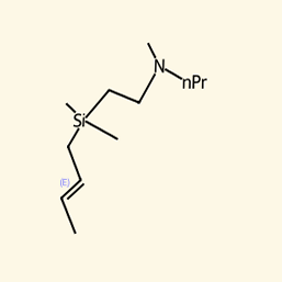 C/C=C/C[Si](C)(C)CCN(C)CCC